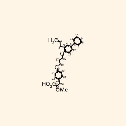 C=CCc1cc(-c2ccccc2)ccc1OCCCOc1ccc(CC(OC)C(=O)O)cc1